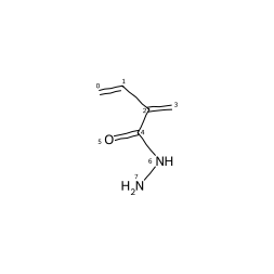 C=CC(=C)C(=O)NN